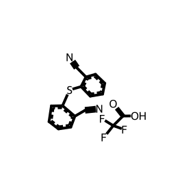 N#Cc1ccccc1Sc1ccccc1C#N.O=C(O)C(F)(F)F